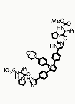 COC(=O)N[C@H](C(=O)N1CCC[C@H]1c1ncc(-c2ccc(-c3ccc(-c4ccc(-c5cnc([C@@H]6CCCN6C(=O)[C@@H](NC(=O)O)C(C)C)[nH]5)cc4)n3-c3ccc(N4CCOCC4)cc3)cc2)[nH]1)C(C)C